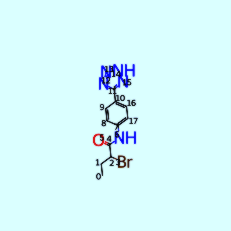 CCC(Br)C(=O)Nc1ccc(-c2nn[nH]n2)cc1